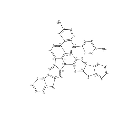 CC(C)(C)c1ccc(Nc2ccc(C(C)(C)C)cc2-c2ccc3c4cc5c(cc4n4c3c2Bc2cc3c(cc2-4)sc2ccccc23)sc2ccccc25)cc1